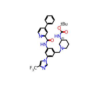 CC(C)(C)OC(=O)N[C@H]1CCCN(Cc2cc(NC(=O)c3cc(-c4ccccc4)ccn3)cc(-n3cnc(C(F)(F)F)c3)c2)C1